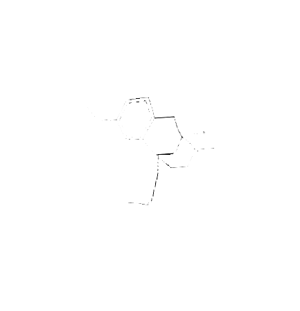 COc1ccc2c(c1)[C@]13CCN(C)[C@H](C2)C1CCC(OC)C3